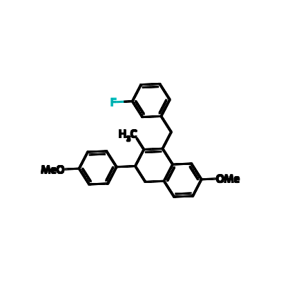 COc1ccc(C2Cc3ccc(OC)cc3C(Cc3cccc(F)c3)=C2C)cc1